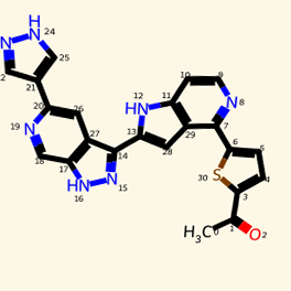 CC(=O)c1ccc(-c2nccc3[nH]c(-c4n[nH]c5cnc(-c6cn[nH]c6)cc45)cc23)s1